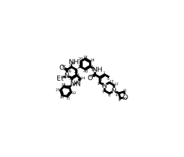 C/C=C(\CN1CCN(C2COC2)CC1)C(=O)Nc1cccc([C@@H]2c3cnn(-c4ccccc4)c3N(CC)C(=O)[C@H]2N)c1